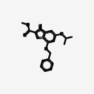 COC(=O)c1cc2c(OCc3ccccc3)cc(OC(C)C)cc2[nH]1